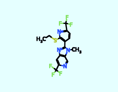 CCSc1nc(C(F)(F)F)ccc1-c1nc2cc(C(F)(F)F)ncc2n1C